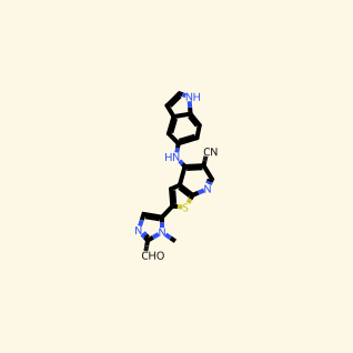 Cn1c(-c2cc3c(Nc4ccc5[nH]ccc5c4)c(C#N)cnc3s2)cnc1C=O